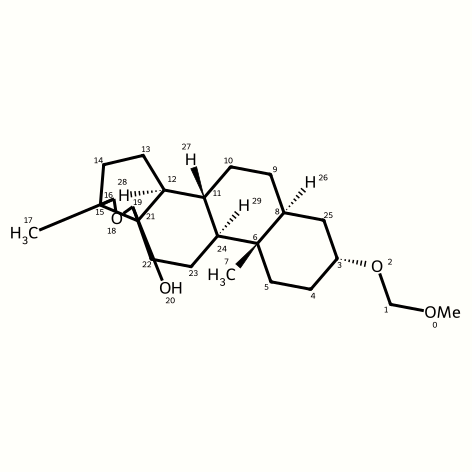 COCO[C@@H]1CC[C@@]2(C)[C@@H](CC[C@H]3[C@@H]4CCC5C(C)OC(O)C54CC[C@@H]32)C1